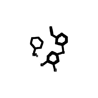 NC1CCCCC1.O=Cc1cccc(Oc2ccc(Cl)c(Cl)c2)c1